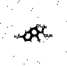 CCOC(=O)[C@@H](O)c1c(C)cc2nc(C)ccc2c1Br